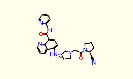 N#CC1CCCN1C(=O)CN1CC[C@H](Nc2ccc(C(=O)Nc3ccccn3)c3ncccc23)C1